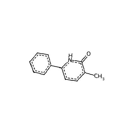 Cc1ccc(-c2ccccc2)[nH]c1=O